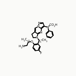 C[C@H](c1cc(F)ccc1O[C@@H](C)CN)N1CCc2cn3ncc(N(C(=O)O)c4ccccc4)c3nc21